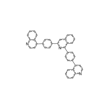 c1ccc2c(-c3ccc(-c4ccnc5ccccc45)cc3)nc(-c3ccc(-c4ccnc5ccccc45)cc3)cc2c1